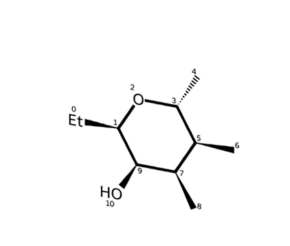 CC[C@H]1O[C@H](C)[C@@H](C)[C@@H](C)[C@H]1O